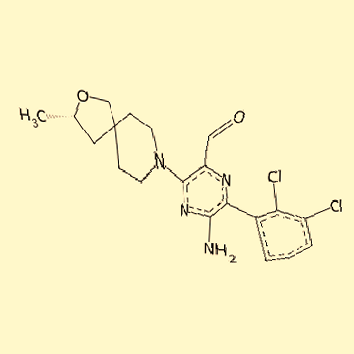 C[C@H]1CC2(CCN(c3nc(N)c(-c4cccc(Cl)c4Cl)nc3C=O)CC2)CO1